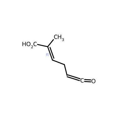 C/C(=C\CC=C=O)C(=O)O